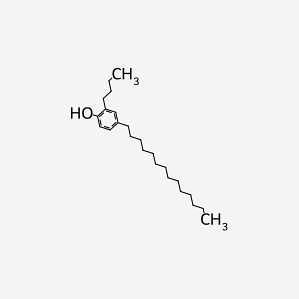 CCCCCCCCCCCCCCc1ccc(O)c(CCCC)c1